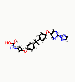 CC(C)(c1ccc(Oc2cnc(-n3nccn3)nc2)cc1)c1ccc(OC2CC(NC(=O)O)C2)cc1